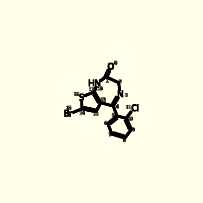 O=C1CN=C(c2ccccc2Cl)c2cc(Br)sc2N1